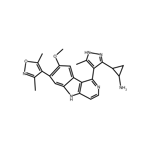 COc1cc2c(cc1-c1c(C)noc1C)[nH]c1ccnc(-c3c(C4CC4N)n[nH]c3C)c12